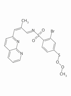 COOSc1ccc(S(=O)(=O)N=CC(C)=Cc2ccc3cccnc3n2)c(Br)c1